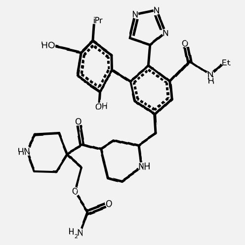 CCNC(=O)c1cc(CC2CC(C(=O)C3(COC(N)=O)CCNCC3)CCN2)cc(-c2cc(C(C)C)c(O)cc2O)c1C1C=NN=N1